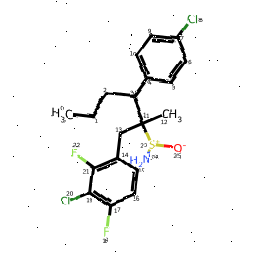 CCCC(c1ccc(Cl)cc1)C(C)(Cc1ccc(F)c(Cl)c1F)[S+](N)[O-]